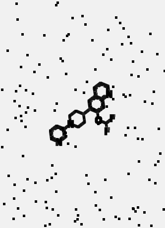 FC(F)Oc1cc2ncccc2cc1C1CCN(c2cccnc2)CC1